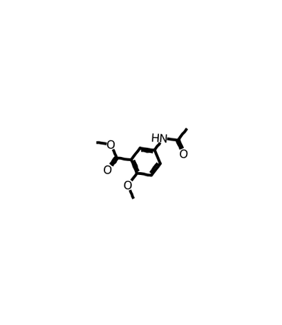 COC(=O)c1cc(NC(C)=O)ccc1OC